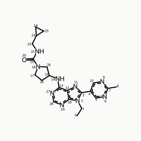 CCn1c(-c2cnc(C)nc2)nc2c(NC3CCN(C(=O)NCC4CC4)C3)ncnc21